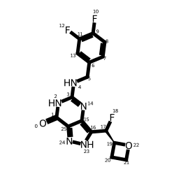 O=c1[nH]c(NCc2ccc(F)c(F)c2)nc2c(C(F)[C@@H]3CCO3)[nH]nc12